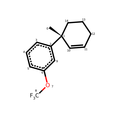 C[C@]1(c2cccc(OC(F)(F)F)c2)C=CCCC1